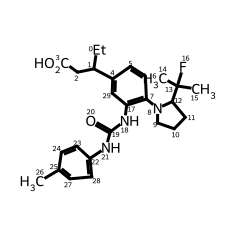 CCC(CC(=O)O)c1ccc(N2CCCC2C(C)(C)F)c(NC(=O)Nc2ccc(C)cc2)c1